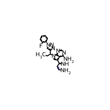 CCC(c1cn(-c2ccccc2F)nn1)n1cc(C(=N)/C=C\N)c2c(N)ncnc21